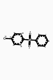 O=S(=O)(c1ccccc1)c1ncc(Cl)cn1